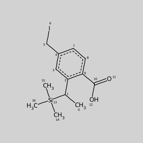 CC(c1cc(CI)ccc1C(=O)O)[Si](C)(C)C